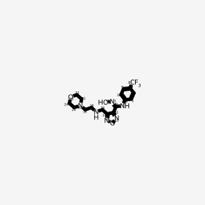 ON=C(Nc1ccc(C(F)(F)F)cc1)c1nonc1CNCCN1CCOCC1